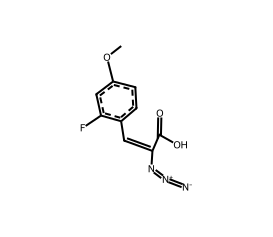 COc1ccc(/C=C(/N=[N+]=[N-])C(=O)O)c(F)c1